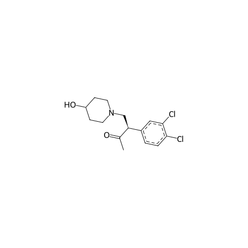 CC(=O)[C@@H](CN1CCC(O)CC1)c1ccc(Cl)c(Cl)c1